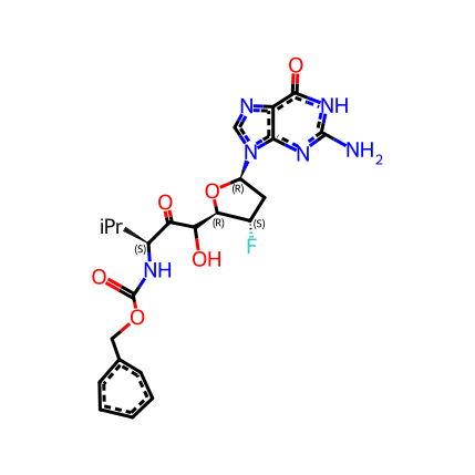 CC(C)[C@H](NC(=O)OCc1ccccc1)C(=O)C(O)[C@H]1O[C@@H](n2cnc3c(=O)[nH]c(N)nc32)C[C@@H]1F